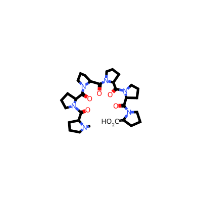 CN1CCCC1C(=O)N1CCCC1C(=O)N1CCCC1C(=O)N1CCCC1C(=O)N1CCCC1C(=O)N1CCCC1C(=O)O